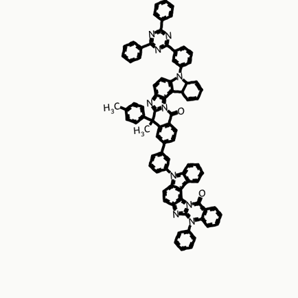 Cc1ccc(C2(C)c3cc(-c4cccc(-n5c6ccccc6c6c5ccc5nc7n(-c8ccccc8)c8ccccc8c(=O)n7c56)c4)ccc3C(=O)n3c2nc2ccc4c(c23)C2C=CC=CC2N4c2cccc(-c3nc(-c4ccccc4)nc(-c4ccccc4)n3)c2)cc1